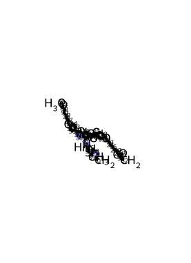 C=C/C=C\c1nc(N/N=C/c2cc(OC(=O)C3(C)C=CC(OCCCCCCOC(=O)C=C)=CC3)ccc2/C=C\C(=O)c2ccc(OCCCCCCOC)cc2)sc1C